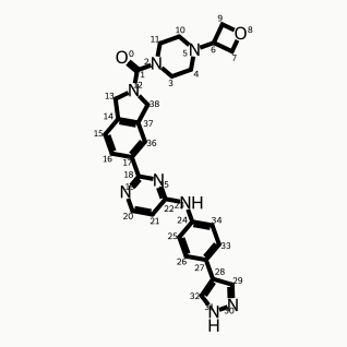 O=C(N1CCN(C2COC2)CC1)N1Cc2ccc(-c3nccc(Nc4ccc(-c5cn[nH]c5)cc4)n3)cc2C1